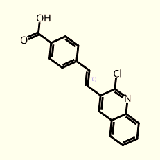 O=C(O)c1ccc(/C=C/c2cc3ccccc3nc2Cl)cc1